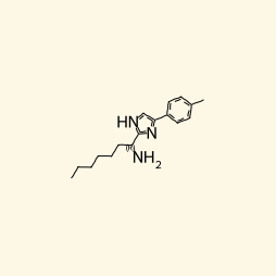 CCCCCC[C@@H](N)c1nc(-c2ccc(C)cc2)c[nH]1